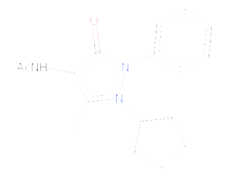 CC(=O)Nc1c(C)n(C2CCCC2)n(-c2ccccc2)c1=O